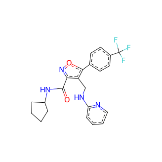 O=C(NC1CCCC1)c1noc(-c2ccc(C(F)(F)F)cc2)c1CNc1ccccn1